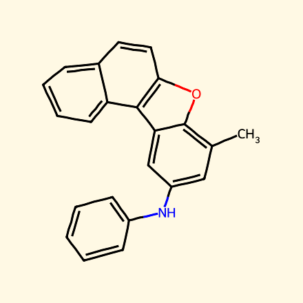 Cc1cc(Nc2ccccc2)cc2c1oc1ccc3ccccc3c12